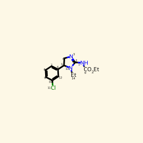 CCOC(=O)NC1=NCC(c2cccc(Cl)c2)N1CC